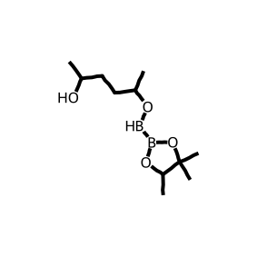 CC(O)CCC(C)OBB1OC(C)C(C)(C)O1